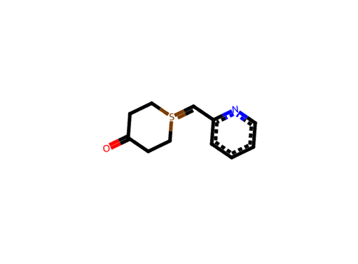 O=C1CCS(=Cc2ccccn2)CC1